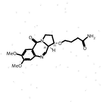 COc1cc2c(cc1OC)C(=O)N1CC[C@H](OCCCC(N)=O)[C@H]1C=N2